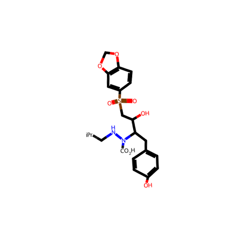 CC(C)CNN(C(=O)O)C(Cc1ccc(O)cc1)C(O)CS(=O)(=O)c1ccc2c(c1)OCO2